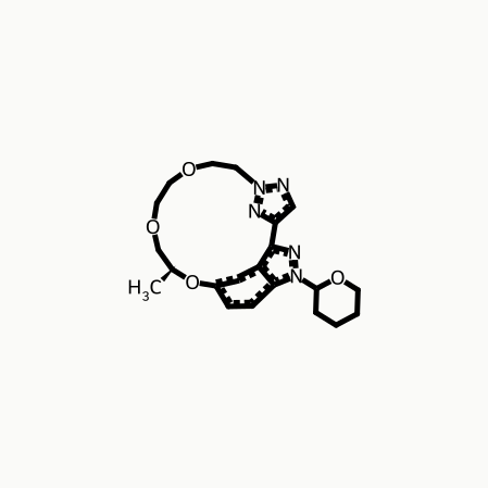 C[C@H]1COCCOCCn2ncc(n2)-c2nn(C3CCCCO3)c3ccc(cc23)O1